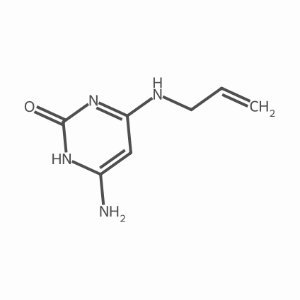 C=CCNc1cc(N)[nH]c(=O)n1